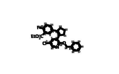 CCOC(=O)c1cc(C2=C(c3cc(Cl)cnc3OCc3ccccc3)CCC2)ccc1F